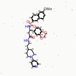 COc1ccc2cc(S(=O)(=O)NC(CC(=O)NCCC3CCN(c4ccncc4)CC3)c3ccc4c(c3)OCO4)ccc2c1